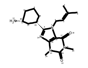 CC(C)=CCn1c([C@H]2CCC[C@@H](N)C2)nc2c1c(=O)n(C)c(=O)n2C